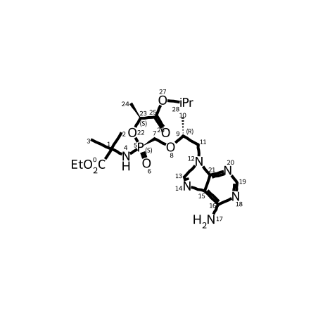 CCOC(=O)C(C)(C)N[P@](=O)(CO[C@H](C)Cn1cnc2c(N)ncnc21)O[C@@H](C)C(=O)OC(C)C